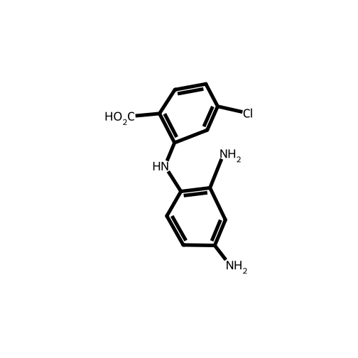 Nc1ccc(Nc2cc(Cl)ccc2C(=O)O)c(N)c1